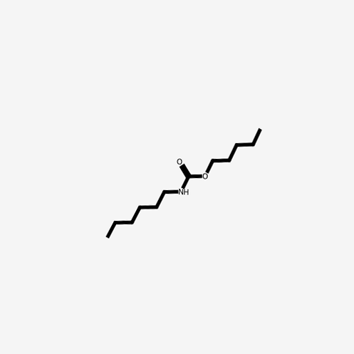 CCCCCCNC(=O)OCCCCC